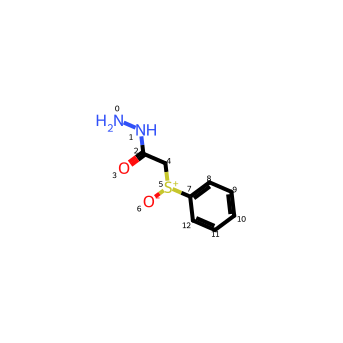 NNC(=O)C[S+]([O-])c1ccccc1